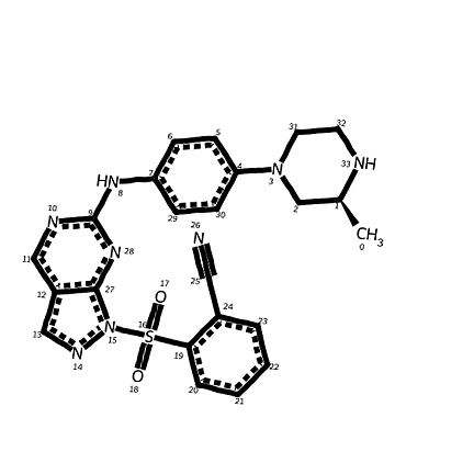 C[C@H]1CN(c2ccc(Nc3ncc4cnn(S(=O)(=O)c5ccccc5C#N)c4n3)cc2)CCN1